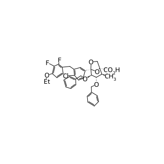 CCOc1ccc(Cc2cc([C@]34OC[C@](C(=O)O)(O3)[C@@H](C)[C@H](OCc3ccccc3)[C@H]4OCc3ccccc3)ccc2Cl)c(F)c1F